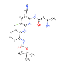 CC(=N)/C=C(\O)Nc1nc(N[C@@H]2CCCCC2NC(=O)OC(C)(C)C)c(F)cc1C#N